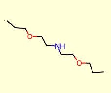 [CH2]CCOCCNCCOCC[CH2]